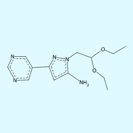 CCOC(Cn1nc(-c2cncnc2)cc1N)OCC